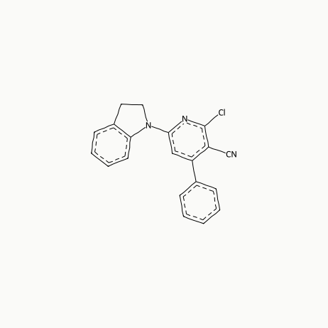 N#Cc1c(-c2ccccc2)cc(N2CCc3ccccc32)nc1Cl